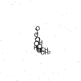 C[C@]12CC[C@@H]3c4ccc(OCC5CO5)cc4CC[C@H]3[C@@H]1CC[C@@H]2O